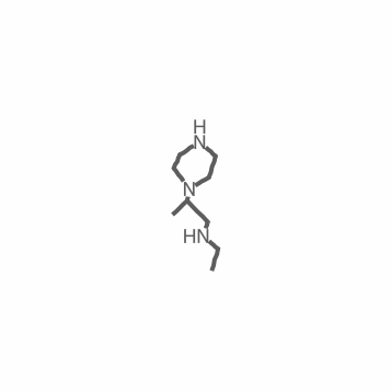 CCNCC(C)N1CCNCC1